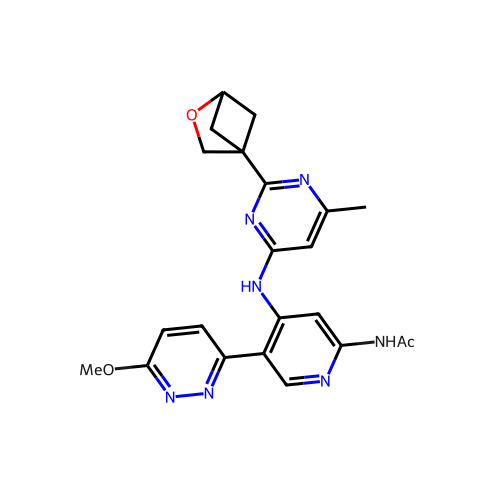 COc1ccc(-c2cnc(NC(C)=O)cc2Nc2cc(C)nc(C34COC(C3)C4)n2)nn1